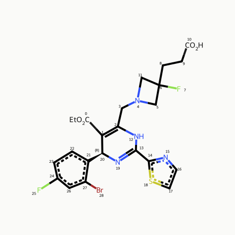 CCOC(=O)C1=C(CN2CC(F)(CCC(=O)O)C2)NC(c2nccs2)=N[C@H]1c1ccc(F)cc1Br